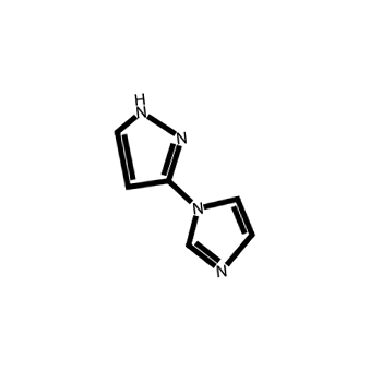 c1cn(-c2cc[nH]n2)cn1